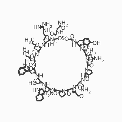 CCCC[C@H]1C(=O)N(C)[C@@H](CCCC)C(=O)N[C@@H](CCCNC(=N)N)C(=O)N[C@H](C(=O)NCC(N)=O)CSCC(=O)N[C@@H](Cc2ccc(O)cc2)C(=O)N(C)[C@@H](C)C(=O)N[C@@H](CC(N)=O)C(=O)N2CCC[C@H]2C(=O)N[C@@H](CN)C(=O)N[C@@H](CCC=O)C(=O)N2CCC[C@H]2C(=O)N(N)[C@@H](Cc2c[nH]c3ccccc23)C(=O)N[C@@H](CO)C(=O)N[C@@H](Cc2c[nH]c3ccccc23)C(=O)N1C